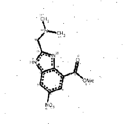 COC(=O)c1cc([N+](=O)[O-])cc2[nH]c(CN(C)C)nc12